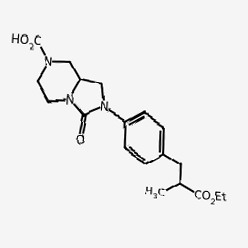 CCOC(=O)C(C)Cc1ccc(N2CC3CN(C(=O)O)CCN3C2=O)cc1